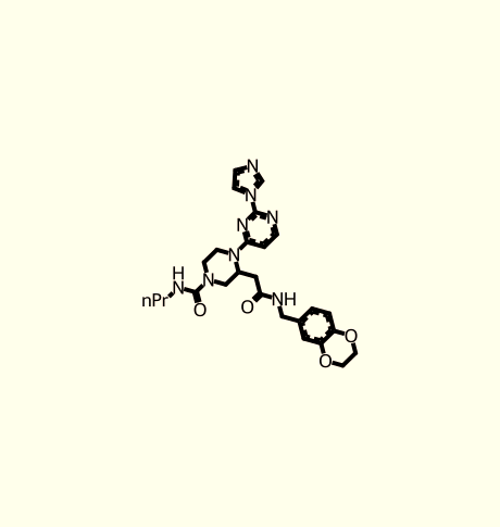 CCCNC(=O)N1CCN(c2ccnc(-n3ccnc3)n2)C(CC(=O)NCc2ccc3c(c2)OCCO3)C1